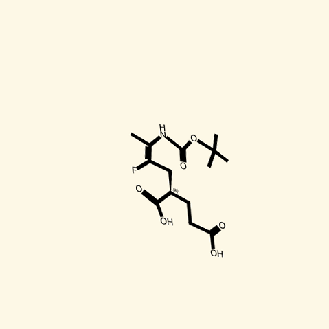 CC(NC(=O)OC(C)(C)C)=C(F)C[C@@H](CCC(=O)O)C(=O)O